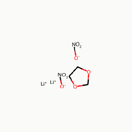 C1COCO1.O=[N+]([O-])[O-].O=[N+]([O-])[O-].[Li+].[Li+]